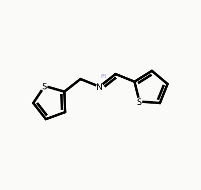 C(=N\Cc1cccs1)/c1cccs1